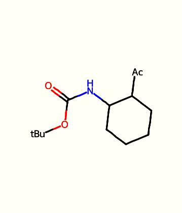 CC(=O)C1CCCCC1NC(=O)OC(C)(C)C